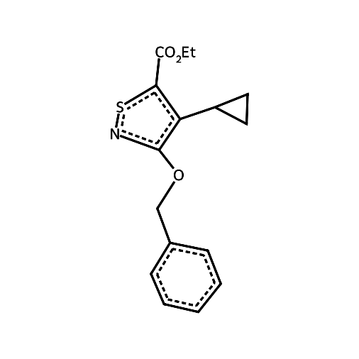 CCOC(=O)c1snc(OCc2ccccc2)c1C1CC1